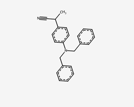 CC(C#N)c1ccc(N(Cc2ccccc2)Cc2ccccc2)cc1